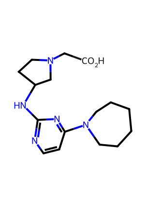 O=C(O)CN1CCC(Nc2nccc(N3CCCCCC3)n2)C1